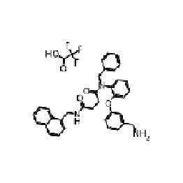 NCc1cccc(Oc2ccccc2N(Cc2ccccc2)C(=O)CCC(=O)NCc2cccc3ccccc23)c1.O=C(O)C(F)(F)F